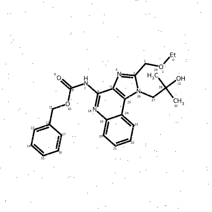 CCOCc1nc2c(NC(=O)OCc3cc[c]cc3)nc3ccccc3c2n1CC(C)(C)O